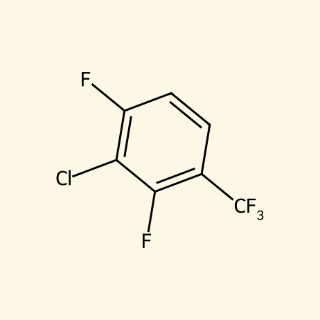 Fc1ccc(C(F)(F)F)c(F)c1Cl